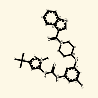 Cn1nc(C(C)(C)C)cc1NC(=O)Nc1cc(F)cc(OC2CCN(C(=O)c3c[nH]c4ccccc34)CC2)c1